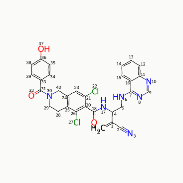 C=C(C#N)C(CNc1ncnc2ccccc12)NC(=O)c1c(Cl)cc2c(c1Cl)CCN(C(=O)c1ccc(O)cc1)C2